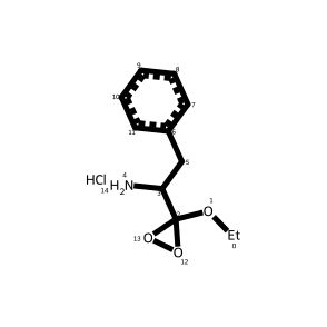 CCOC1(C(N)Cc2ccccc2)OO1.Cl